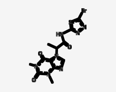 CC(C(=O)Nc1nnc(Br)s1)n1cnc2c1c(=O)n(C)c(=O)n2C